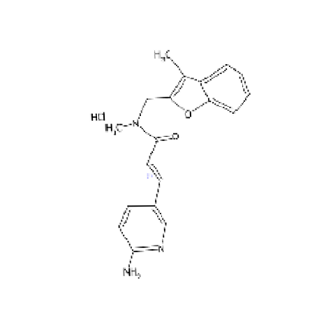 Cc1c(CN(C)C(=O)/C=C/c2ccc(N)nc2)oc2ccccc12.Cl